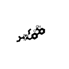 CCCn1nc(C(C)CC)nc1Cc1ccc(-c2ccccc2C(=O)O)cc1